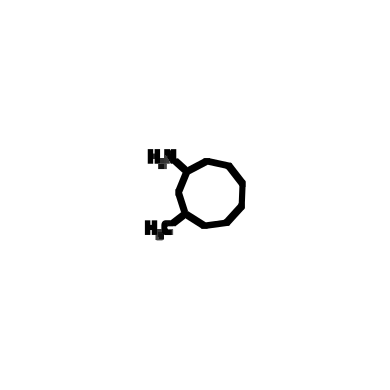 CC1CCCCCCC(N)C1